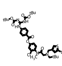 CN(C(=O)CN(Cc1csc(C(C)(C)C)c1)CC(C)(C)C)c1ccc(OC(=O)c2ccc(N/C(=N\C(=O)OC(C)(C)C)NC(=O)OC(C)(C)C)cc2)cc1Cl